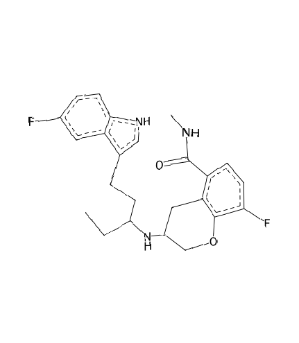 CCC(CCc1c[nH]c2ccc(F)cc12)NC1COc2c(F)ccc(C(=O)NC)c2C1